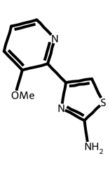 COc1cccnc1-c1csc(N)n1